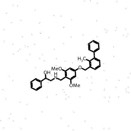 COc1cc(OCc2cccc(-c3ccccc3)c2C)cc(OC)c1CNCC(O)c1ccccc1